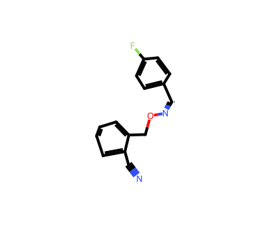 N#Cc1ccccc1CO/N=[C]\c1ccc(F)cc1